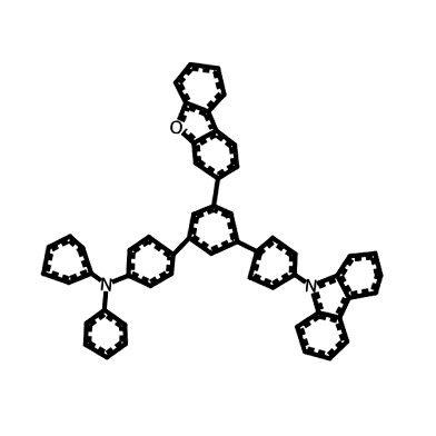 c1ccc(N(c2ccccc2)c2ccc(-c3cc(-c4ccc(-n5c6ccccc6c6ccccc65)cc4)cc(-c4ccc5c(c4)oc4ccccc45)c3)cc2)cc1